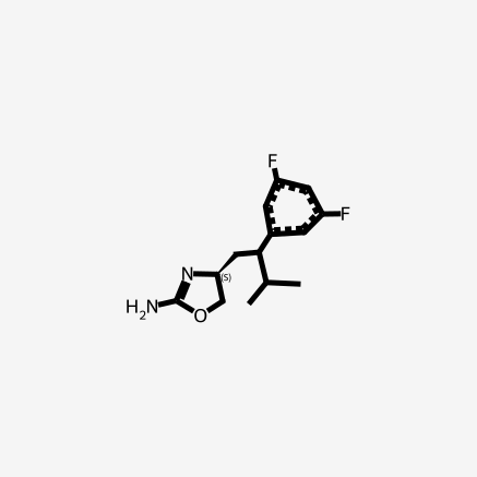 CC(C)C(C[C@H]1COC(N)=N1)c1cc(F)cc(F)c1